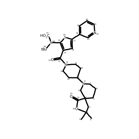 CC1(C)CC2(CCCN(C3CCN(C(=O)c4cc(-c5cccnc5)sc4N(C(=O)O)C(C)(C)C)CC3)C2)C(=O)O1